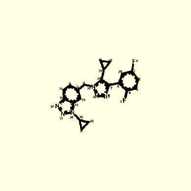 Fc1ccc(F)c(-c2nnn(Cc3ccc4nnn(C5CC5)c4c3)c2C2CC2)c1